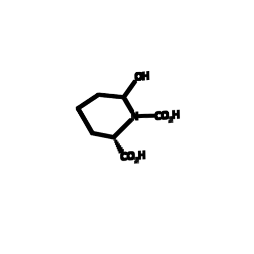 O=C(O)[C@@H]1CCCC(O)N1C(=O)O